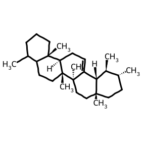 CC1CCC[C@@]2(C)C1CC[C@]1(C)[C@@H]2CC=C2[C@@H]3[C@@H](C)[C@H](C)CC[C@]3(C)CC[C@]21C